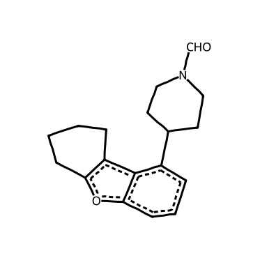 O=CN1CCC(c2cccc3oc4c(c23)CCCC4)CC1